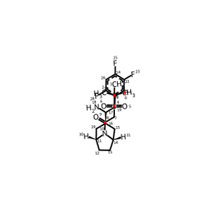 CC(C)(C)S(=O)(=O)CC(=O)N1[C@@H]2CC[C@H]1C[C@H](C(N)Cc1cc(F)c(F)cc1F)C2